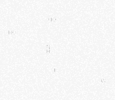 OCCN[C@H](CO)c1ccc(Br)cc1F